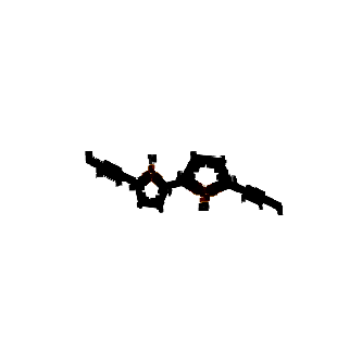 CC#Cc1ccc(-c2ccc(C#CC)s2)s1